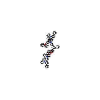 c1ccc(-c2ccc(-c3ccccc3N(c3ccc(-c4ccc(-c5ccccc5)cc4-n4c5ccccc5c5ccccc54)cc3)c3cccc(-c4cccc5c4oc4ccc(-c6cc(-c7ccccc7)cc(-c7ccc(N(c8ccc(-c9ccc(-c%10ccccc%10)cc9-n9c%10ccccc%10c%10ccccc%109)cc8)c8cccc(-c9cccc%10c9oc9ccccc9%10)c8)cc7)c6)cc45)c3)cc2)cc1